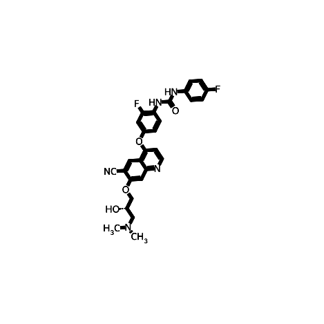 CN(C)C[C@H](O)COc1cc2nccc(Oc3ccc(NC(=O)Nc4ccc(F)cc4)c(F)c3)c2cc1C#N